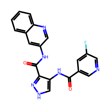 O=C(Nc1c[nH]nc1C(=O)Nc1cnc2ccccc2c1)c1cncc(F)c1